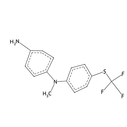 CN(c1ccc(N)cc1)c1ccc(SC(F)(F)F)cc1